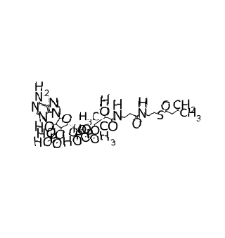 C=C(C)CC(=O)SCCNC(=O)CCNC(=O)[C@H](O)C(C)(C)COP(=O)(O)OP(=O)(O)OC[C@H]1O[C@@H](n2cnc3c(N)ncnc32)[C@H](O)[C@@H]1OP(=O)(O)O